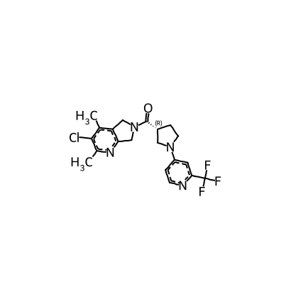 Cc1nc2c(c(C)c1Cl)CN(C(=O)[C@@H]1CCN(c3ccnc(C(F)(F)F)c3)C1)C2